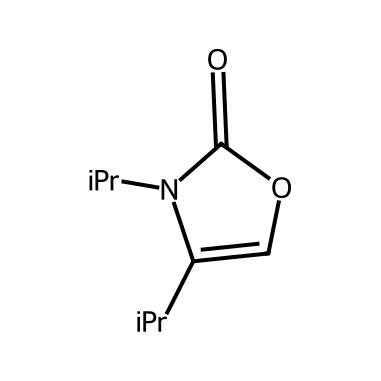 CC(C)c1coc(=O)n1C(C)C